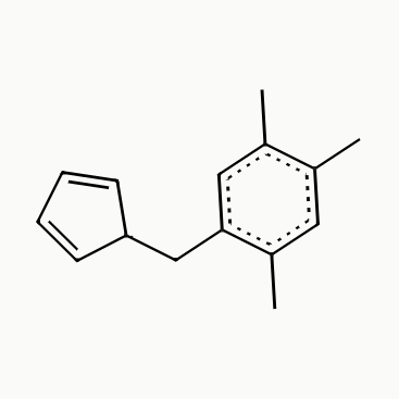 Cc1cc(C)c(C[C]2C=CC=C2)cc1C